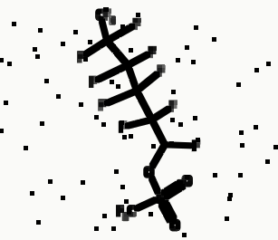 O=S(=O)(OC(F)C(F)(F)C(F)(F)C(F)(F)C(F)(F)C(F)(F)F)C(F)(F)F